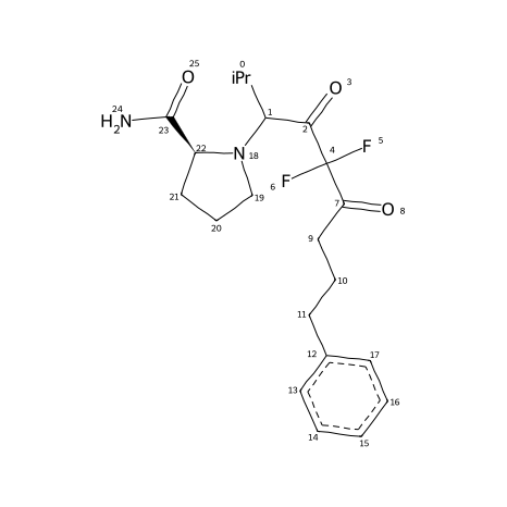 CC(C)C(C(=O)C(F)(F)C(=O)CCCc1ccccc1)N1CCC[C@H]1C(N)=O